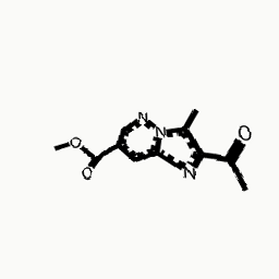 COC(=O)c1cnn2c(C)c(C(C)=O)nc2c1